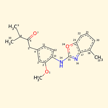 COc1cc(CC(=O)C(C)C)ccc1Nc1nc2c(C)cccc2o1